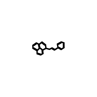 C(=Cc1ccccc1)CC1C=Cc2cccc3cccc1c23